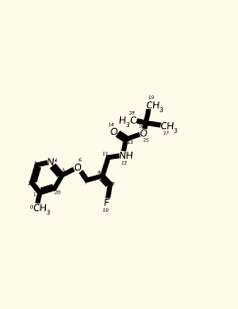 Cc1ccnc(OC/C(=C\F)CNC(=O)OC(C)(C)C)c1